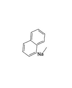 [CH3][Na].c1ccc2ccccc2c1